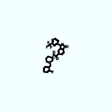 O=C(N[C@@H]1CCCN(Cc2ccccc2F)C1)c1ccc2[nH]nc(-c3ccnc(C(F)(F)F)c3)c2c1